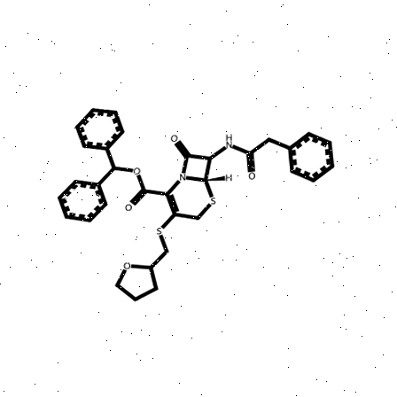 O=C(Cc1ccccc1)NC1C(=O)N2C(C(=O)OC(c3ccccc3)c3ccccc3)=C(SCC3CCCO3)CS[C@@H]12